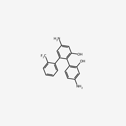 Nc1ccc(-c2c(O)cc(N)cc2-c2ccccc2C(F)(F)F)c(O)c1